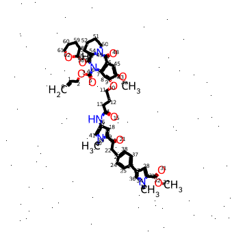 C=CCOC(=O)N1c2cc(OCCCC(=O)Nc3cc(C(=O)Cc4ccc(-c5cc(C(=O)OC)n(C)c5)cc4)n(C)c3)c(OC)cc2C(=O)N2CCCC[C@H]2[C@@H]1OC1CCCCO1